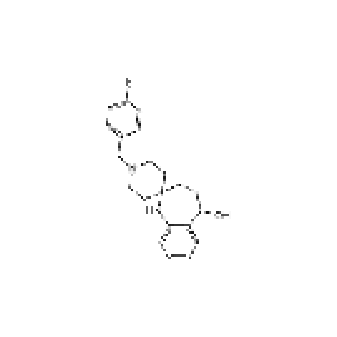 OC1CCC2(CCN(Cc3ccc(F)cc3)CC2)Nc2ccccc21